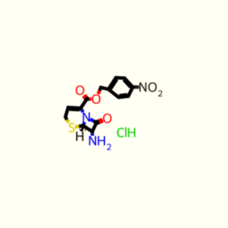 Cl.NC1C(=O)N2C(C(=O)OCc3ccc([N+](=O)[O-])cc3)=CCS[C@@H]12